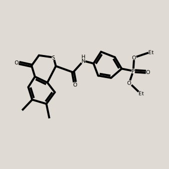 CCOP(=O)(OCC)c1ccc(NC(=O)C2SCC(=O)c3cc(C)c(C)cc32)cc1